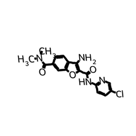 CN(C)C(=O)c1ccc2c(N)c(C(=O)Nc3ccc(Cl)cn3)oc2c1